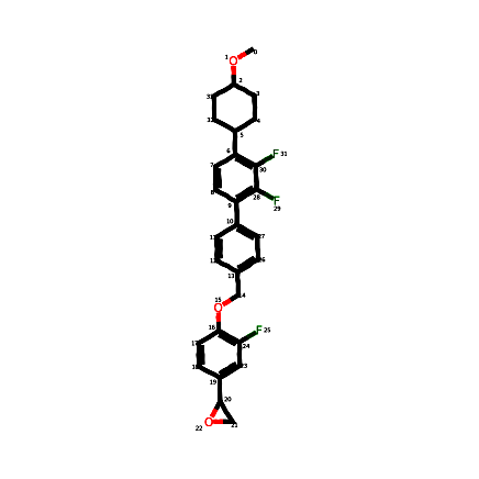 COC1CCC(c2ccc(-c3ccc(COc4ccc(C5CO5)cc4F)cc3)c(F)c2F)CC1